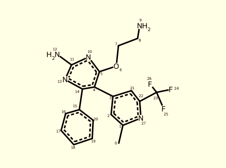 Cc1cc(-c2c(OCCN)nc(N)nc2-c2ccccc2)cc(C(F)(F)F)n1